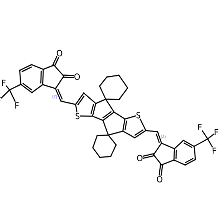 O=C1C(=O)c2ccc(C(F)(F)F)cc2/C1=C/c1cc2c(s1)C1=C(c3sc(/C=C4\C(=O)C(=O)c5ccc(C(F)(F)F)cc54)cc3C13CCCCC3)C21CCCCC1